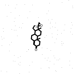 CC12CCC(=O)C=C1CCC1C2CCC2(C)C1CC[C@@]21CO1